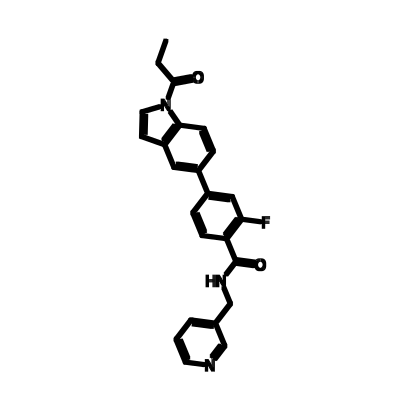 CCC(=O)n1ccc2cc(-c3ccc(C(=O)NCc4cccnc4)c(F)c3)ccc21